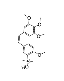 COc1ccc(/C=C\c2cc(OC)c(OC)c(OC)c2)cc1[Si](C)(C)O